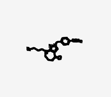 COc1ccc(Cn2cc3c(n2)N(CCCBr)CCCC3=O)cc1